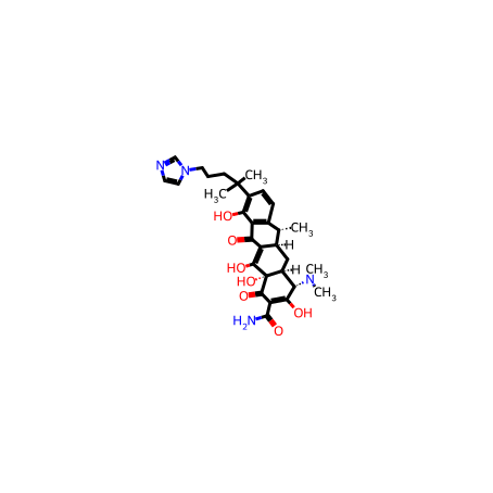 C[C@H]1c2ccc(C(C)(C)CCCn3ccnc3)c(O)c2C(=O)C2=C(O)[C@]3(O)C(=O)C(C(N)=O)=C(O)[C@@H](N(C)C)[C@@H]3C[C@@H]21